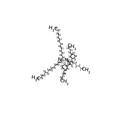 CCCCCC1=C(c2cccc(CCCC)c2)[N+](=[N-])C(c2cccc(CCCCC)c2)=C1.CCCCCCCCCCCCC[CH2][Ni][CH2]CCCCCCCCCCCCC